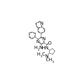 CN(C)C1CCCC1NC(=O)c1nc(-c2ccc3ncccc3c2)c(-c2ccccc2)nc1N